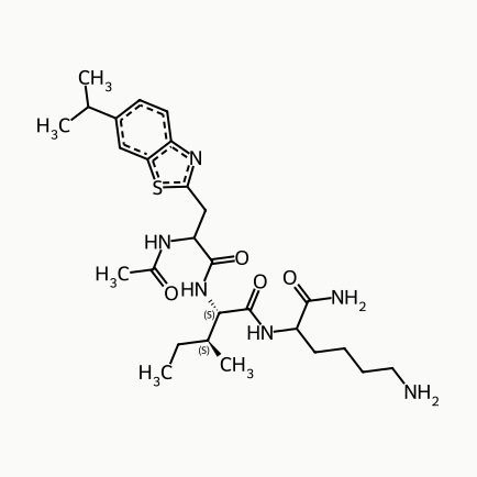 CC[C@H](C)[C@H](NC(=O)C(Cc1nc2ccc(C(C)C)cc2s1)NC(C)=O)C(=O)NC(CCCCN)C(N)=O